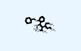 C=C/C=C(\C=C/N)C(/C(=C)C)=C(/NN)c1ccccc1OCc1ccccc1